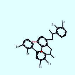 CCc1cccc(C(C)Cc2ccc(O)c(CC(C)c3cccc(CC)c3CC)c2CC(C)c2cccc(CC)c2CC)c1CC